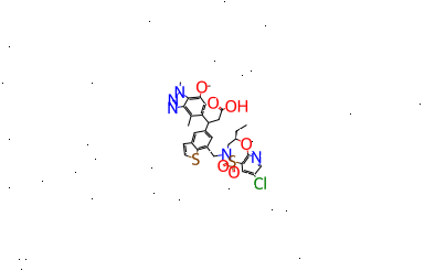 CC[C@@H]1CN(Cc2cc(C(CC(=O)O)c3cc(OC)c4c(nnn4C)c3C)cc3ccsc23)S(=O)(=O)c2cc(Cl)cnc2O1